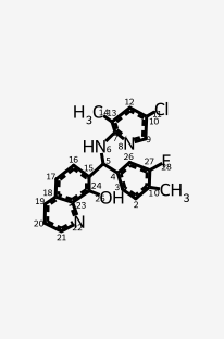 Cc1ccc(C(Nc2ncc(Cl)cc2C)c2ccc3cccnc3c2O)cc1F